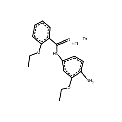 CCOc1cc(NC(=O)c2ccccc2OCC)ccc1N.Cl.[Zn]